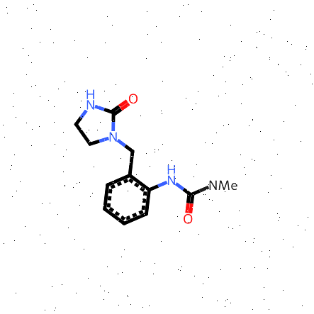 CNC(=O)Nc1ccccc1CN1CCNC1=O